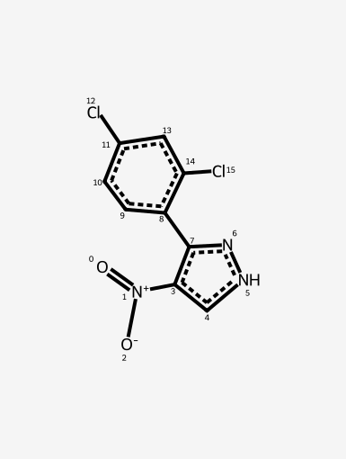 O=[N+]([O-])c1c[nH]nc1-c1ccc(Cl)cc1Cl